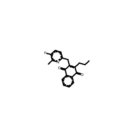 CCCC1=C(Cc2ccc(F)c(C)n2)C(=O)c2ccccc2C1=O